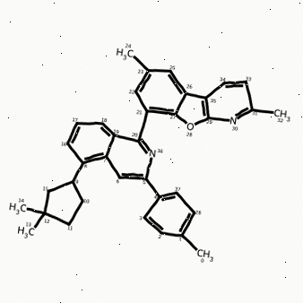 Cc1ccc(-c2cc3c(C4CCC(C)(C)C4)cccc3c(-c3cc(C)cc4c3oc3nc(C)ccc34)n2)cc1